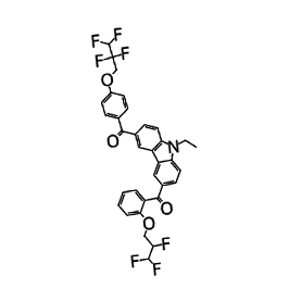 CCn1c2ccc(C(=O)c3ccc(OCC(F)(F)C(F)F)cc3)cc2c2cc(C(=O)c3ccccc3OCC(F)C(F)F)ccc21